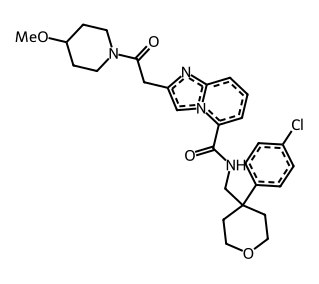 COC1CCN(C(=O)Cc2cn3c(C(=O)NCC4(c5ccc(Cl)cc5)CCOCC4)cccc3n2)CC1